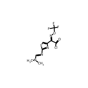 CN(C)C=Nc1nc(C(=NOC(F)(F)F)C(=O)Cl)cs1